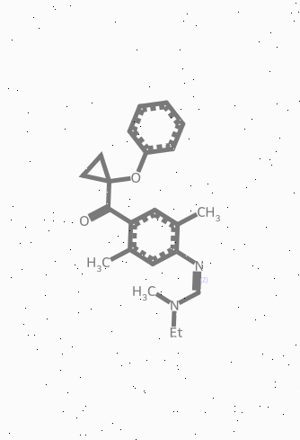 CCN(C)/C=N\c1cc(C)c(C(=O)C2(Oc3ccccc3)CC2)cc1C